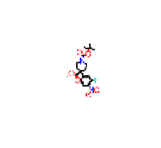 COC(=O)C1(c2ccc([N+](=O)[O-])c(F)c2)CCN(C(=O)OC(C)(C)C)CC1